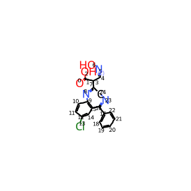 O=C(O)C(/C=N\O)C1=Nc2ccc(Cl)cc2C(c2ccccc2)=NC1